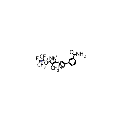 Cn1nc(O/C(=C(/F)C(F)(F)F)C(F)(F)F)c(C(F)(F)F)c1-n1cc(-c2cccc(C(N)=O)c2)cn1